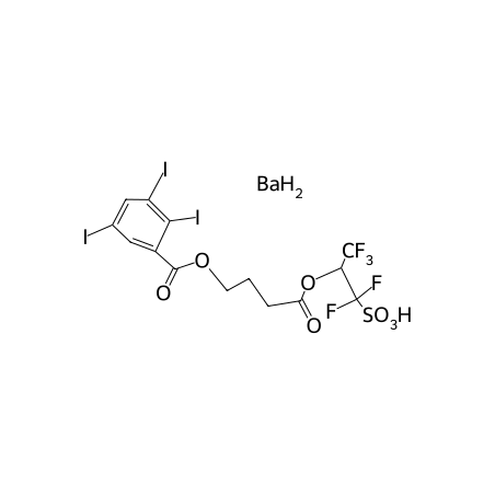 O=C(CCCOC(=O)c1cc(I)cc(I)c1I)OC(C(F)(F)F)C(F)(F)S(=O)(=O)O.[BaH2]